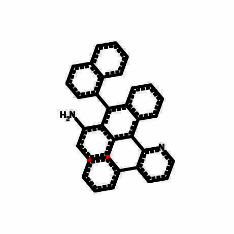 Nc1cccc2c(-c3ncccc3-c3ccccc3)c3ccccc3c(-c3cccc4ccccc34)c12